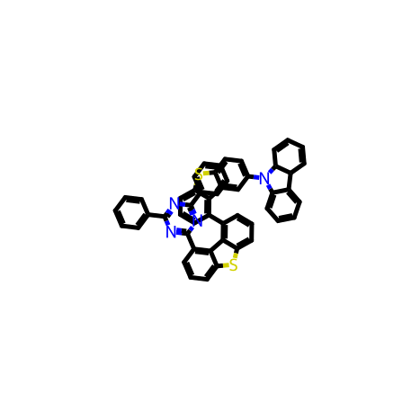 C1=CC2c3ccccc3N(c3ccc4sc5cccc(-c6cccc7sc8cccc(-c9nc(-c%10ccccc%10)nc(-c%10ccccc%10)n9)c8c67)c5c4c3)C2C=C1